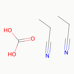 CCC#N.CCC#N.O=C(O)O